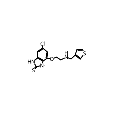 S=C1[N]c2c(cc(Cl)cc2OCCNCc2ccsc2)N1